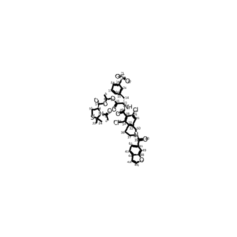 CC(=O)N1[C@H](C(=O)OC(C)OC(=O)[C@H](Cc2cccc(S(C)(=O)=O)c2)NC(=O)c2c(Cl)cc3c(c2Cl)CCN(C(=O)c2ccc4ccoc4c2)C3)CSC1(C)C